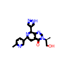 Cc1ccc(-c2cc3c(=O)n([C@@H](C)CO)cnc3c(-c3cn[nH]c3)n2)cn1